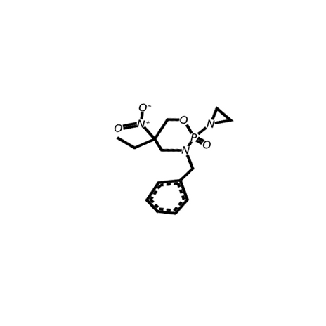 CCC1([N+](=O)[O-])COP(=O)(N2CC2)N(Cc2ccccc2)C1